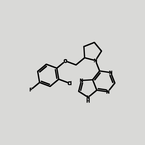 Fc1ccc(OCC2CCCN2c2ncnc3[nH]cnc23)c(Cl)c1